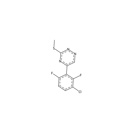 CSc1nncc(-c2c(F)ccc(Cl)c2F)n1